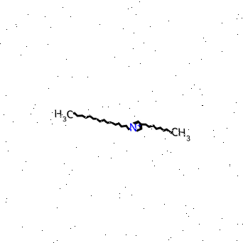 CCCCCCCCCCCCCCCCC[n+]1ccc(CCCCCCCCC)cc1